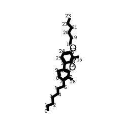 CCCCCCCc1ccc2c(oc3c(C)c(OCCCCCC)ccc32)c1C